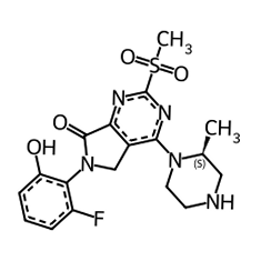 C[C@H]1CNCCN1c1nc(S(C)(=O)=O)nc2c1CN(c1c(O)cccc1F)C2=O